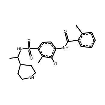 Cc1ccccc1C(=O)Nc1ccc(S(=O)(=O)NC(C)C2CCNCC2)c(C)c1Cl